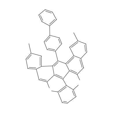 Cc1ccc2cc(C)c3c(-c4c(C)cccc4C)c4c(C)cc5ccc(C)cc5c4c(-c4ccc(-c5ccccc5)cc4)c3c2c1